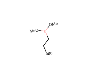 CCCCCCB(OC)OC